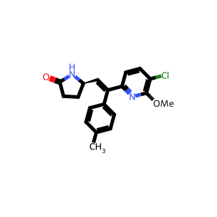 COc1nc(/C(=C/[C@H]2CCC(=O)N2)c2ccc(C)cc2)ccc1Cl